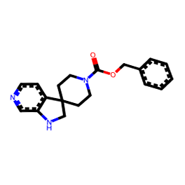 O=C(OCc1ccccc1)N1CCC2(CC1)CNc1cnccc12